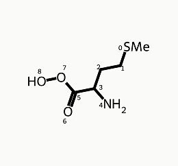 CSCCC(N)C(=O)OO